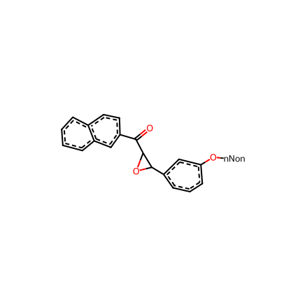 CCCCCCCCCOc1cccc(C2OC2C(=O)c2ccc3ccccc3c2)c1